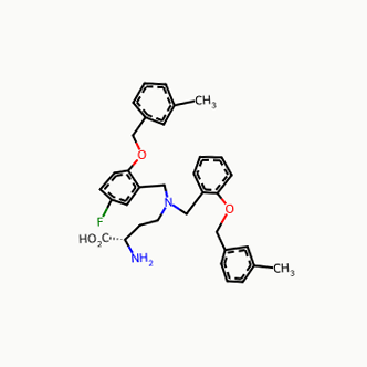 Cc1cccc(COc2ccccc2CN(CC[C@H](N)C(=O)O)Cc2cc(F)ccc2OCc2cccc(C)c2)c1